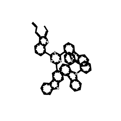 C=C/C=c1\c(=C/C)sc2c(-c3nc(-c4ccc5oc6ccccc6c5c4)nc(-c4cccc5c6ccccc6n(-c6cccc7c8ccccc8n(-c8ccccc8-c8ccccc8)c67)c45)n3)cccc12